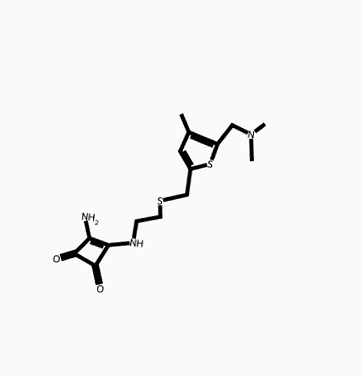 Cc1cc(CSCCNc2c(N)c(=O)c2=O)sc1CN(C)C